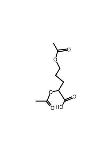 CC(=O)OCCCC(OC(C)=O)C(=O)O